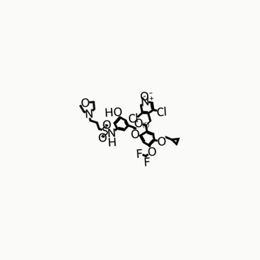 O=C(O[C@@H](Cc1c(Cl)c[n+]([O-])cc1Cl)c1ccc(OC(F)F)c(OCC2CC2)c1)c1cc(O)cc(NS(=O)(=O)CCCN2CCOCC2)c1